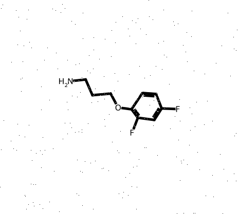 NCCCOc1ccc(F)cc1F